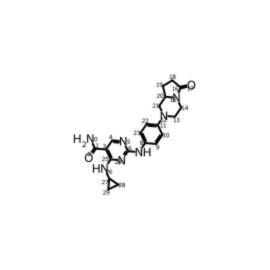 NC(=O)c1cnc(Nc2ccc(N3CCN4C(=O)CCC4C3)cc2)nc1NC1CC1